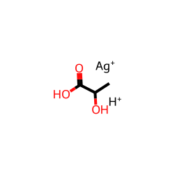 CC(O)C(=O)O.[Ag+].[H+]